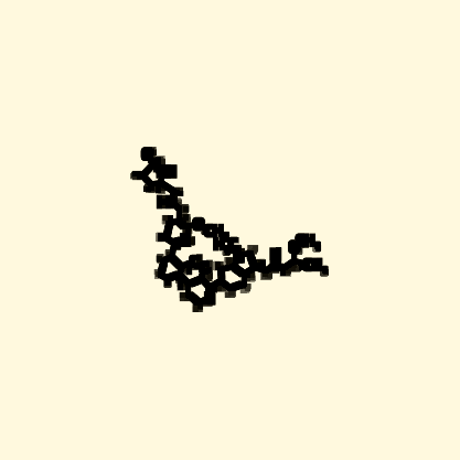 COc1nc(-c2cccc(-c3ccnc(-c4ccc5c(CNCC(C)OC)cn(C)c5c4)c3Cl)c2Cl)ccc1CNCC1CCC(=O)N1